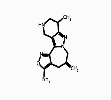 C=C1Cc2c(noc2N)-c2c3c(nn2C1)C(C)CNC3